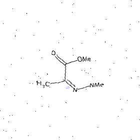 CN/N=C(/C)C(=O)OC